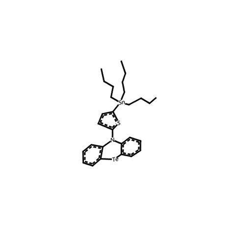 CCC[CH2][Sn]([CH2]CCC)([CH2]CCC)[c]1ccc(N2c3ccccc3[Te]c3ccccc32)s1